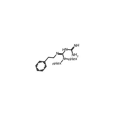 CCCCCCN(CCCCCC)C(=NCCc1ccccc1)NC(=N)N